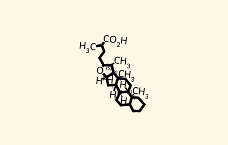 CC(CCC1O[C@H]2C[C@H]3[C@@H]4CCC5CCCC[C@]5(C)[C@H]4CC[C@]3(C)[C@H]2[C@@H]1C)C(=O)O